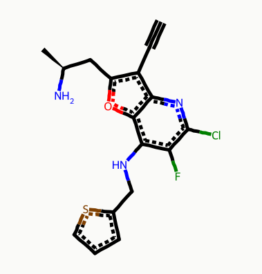 C#Cc1c(C[C@H](C)N)oc2c(NCc3cccs3)c(F)c(Cl)nc12